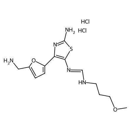 COCCCNC=Nc1sc(N)nc1-c1ccc(CN)o1.Cl.Cl